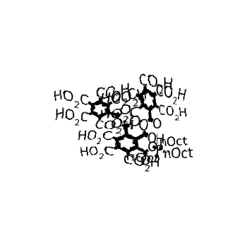 CCCCCCCC[PH](CCCCCCCC)(CCCCCCCC)OC(=O)c1c(C(=O)O)c(C(=O)O)c(C(=O)O)c(C(=O)OC(=O)c2c(C(=O)O)c(C(=O)O)c(C(=O)O)c(C(=O)O)c2C(=O)O)c1C(=O)OC(=O)c1c(C(=O)O)c(C(=O)O)c(C(=O)O)c(C(=O)O)c1C(=O)O